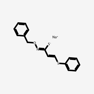 [Na+].[S-]C(C=CSc1ccccc1)=NOCc1ccccc1